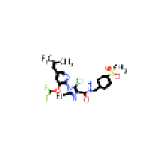 CCc1nc(C(=O)NCC2CCC(S(C)(=O)=O)CC2)c(Cl)n1-c1ncc(CC(C)C(F)(F)F)cc1OC(F)F